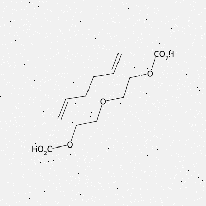 C=CCCC=C.O=C(O)OCCOCCOC(=O)O